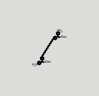 CCCCCCCCCCCC(c1ccc(N)cc1)c1ccc(CCCCCCCCCCCCCCCc2ccc(C(CCCCCCCCCCC)c3ccc(N)cc3)cc2)cc1